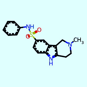 CN1CCc2[nH]c3ccc(S(=O)(=O)Nc4ccccc4)cc3c2C1